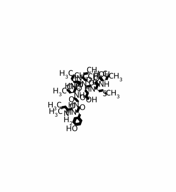 CSCC[C@H](NC(=O)[C@H](CCC(=O)O)NC(=O)[C@H](CC(C)C)NC(=O)[C@H](CC(C)C)NC(=O)[C@H](CC(C)C)NC(=O)CNC(=O)[C@H](Cc1ccc(O)cc1)NC(=O)[C@@H](N)CC(C)C)C(=O)N[C@@H](CC(C)C)C(=O)O